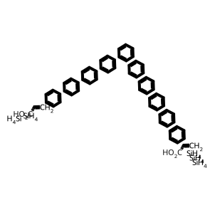 C=CC(=O)O.C=CC(=O)O.[SiH4].[SiH4].[SiH4].[SiH4].[SiH4].c1ccccc1.c1ccccc1.c1ccccc1.c1ccccc1.c1ccccc1.c1ccccc1.c1ccccc1.c1ccccc1.c1ccccc1.c1ccccc1